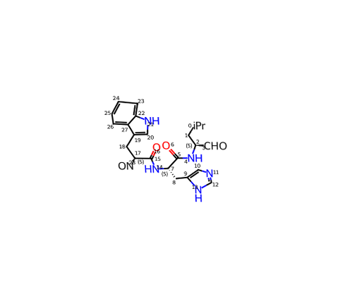 CC(C)C[C@@H](C=O)NC(=O)[C@H](Cc1cnc[nH]1)NC(=O)[C@H](Cc1c[nH]c2ccccc12)N=O